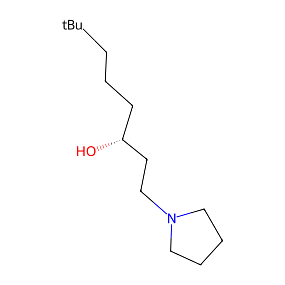 CC(C)(C)CCC[C@@H](O)CCN1CCCC1